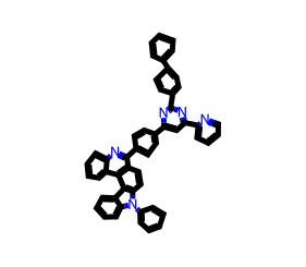 c1ccc(-c2ccc(-c3nc(-c4ccc(-c5nc6ccccc6c6c5ccc5c6c6ccccc6n5-c5ccccc5)cc4)cc(-c4ccccn4)n3)cc2)cc1